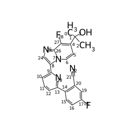 CC(C)(O)c1ccn2c(-c3cccc(-c4ccc(F)cc4C#N)n3)cnc2c1F